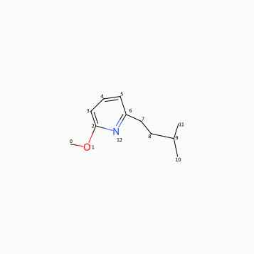 COc1cccc(CCC(C)C)n1